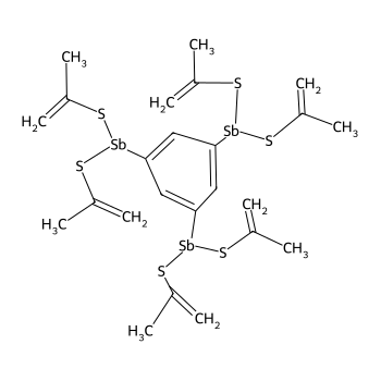 C=C(C)[S][Sb]([S]C(=C)C)[c]1c[c]([Sb]([S]C(=C)C)[S]C(=C)C)c[c]([Sb]([S]C(=C)C)[S]C(=C)C)c1